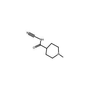 CN1CCC(C(=O)NC#N)CC1